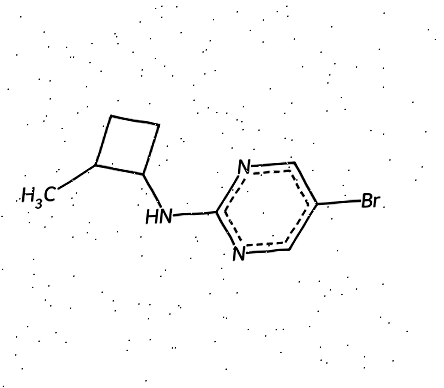 CC1CCC1Nc1ncc(Br)cn1